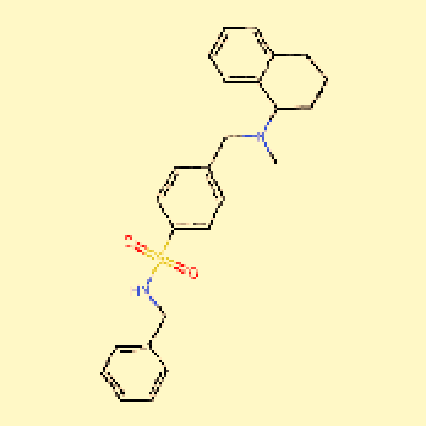 CN(Cc1ccc(S(=O)(=O)NCc2ccccc2)cc1)C1CCCc2ccccc21